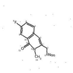 CCCCCCCCCCc1cc2ccc(F)cc2c(=O)n1C